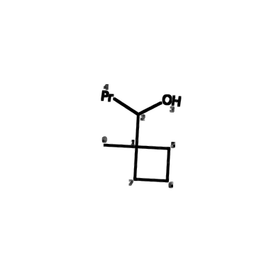 CC1([CH](O)[Pr])CCC1